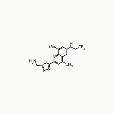 Cc1cc(-c2nnc(CN)o2)nc2c(C(C)(C)C)cc(NCC(F)(F)F)cc12